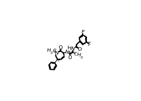 C[C@H](NC(=O)Cc1cc(F)cc(F)c1)C(=O)N[C@H]1C=C[C@@H](c2ccccc2)CN(C)C1=O